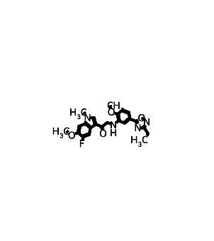 CCc1noc(-c2ccc(OC)c(NCC(=O)c3cn(C)c4cc(OC)c(F)cc34)c2)n1